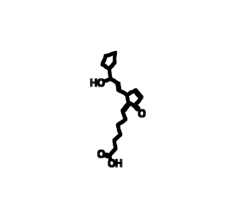 O=C(O)CCCCCC=C1C(=O)C=CC1C=CC(O)C1CCCC1